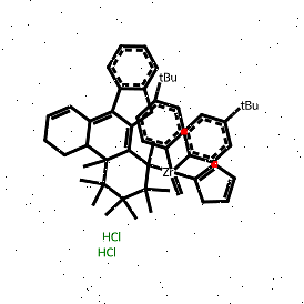 Cl.Cl.[CH2]=[Zr]([C]1=CC=CC1)([c]1ccc(C(C)(C)C)cc1)([c]1ccc(C(C)(C)C)cc1)[C]1(C)C2=C3Cc4ccccc4C3=C3C=CCCC3C2(C)C(C)(C)C(C)(C)C1(C)C